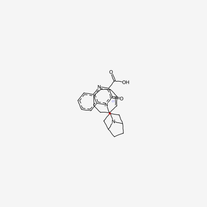 O=C(O)c1nc2ccccc2n(C2CC3CCC(C2)N3C2/C=C\CCCCC2)c1=O